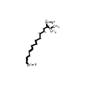 CCCCC/C=C\CC=CCCCCCCCC(CCCCCCC)N(C)C